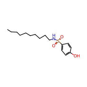 CCCCCCCCCCNS(=O)(=O)c1ccc(O)cc1